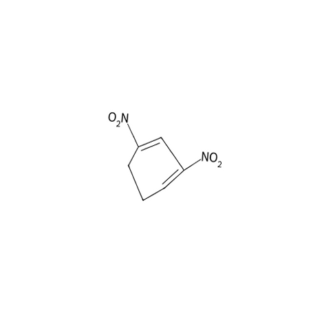 O=[N+]([O-])C1=CCCC([N+](=O)[O-])=C1